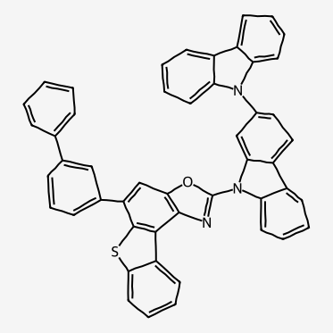 c1ccc(-c2cccc(-c3cc4oc(-n5c6ccccc6c6ccc(-n7c8ccccc8c8ccccc87)cc65)nc4c4c3sc3ccccc34)c2)cc1